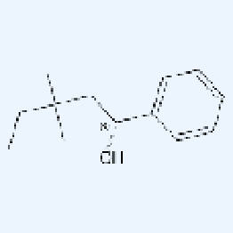 CCC(C)(C)C[C@@H](O)c1ccccc1